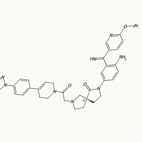 CC(C)Oc1ccc(C(=N)c2cc(N3CC[C@]4(CCN(CC(=O)N5CC=C(c6ccc(-n7ccnn7)cc6)CC5)C4)C3=O)ccc2N)cn1